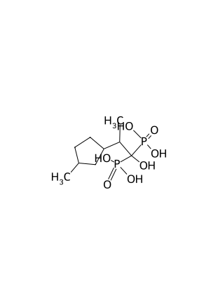 CC1CCC(C(C)C(O)(P(=O)(O)O)P(=O)(O)O)C1